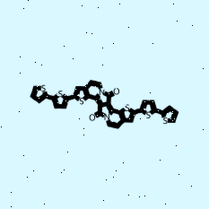 O=C1C2=C3c4sc(-c5ccc(-c6cccs6)s5)cc4C=CN3C(=O)C2=C2c3sc(-c4ccc(-c5cccs5)s4)cc3C=CN12